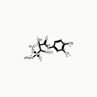 CCCCCCCCC([C@@](C)(O)C(=O)Nc1ccc(C#N)c(C(F)(F)F)c1)S(=O)(=O)CCCCC